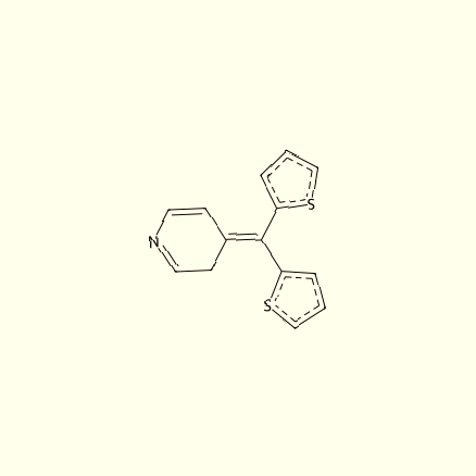 C1=CC(=C(c2cccs2)c2cccs2)CC=N1